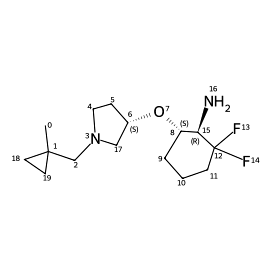 CC1(CN2CC[C@H](O[C@H]3CCCC(F)(F)[C@@H]3N)C2)CC1